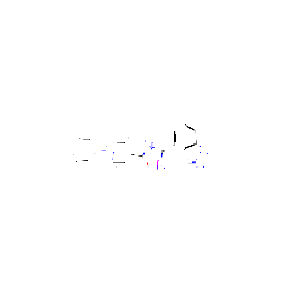 Fc1ccc2[nH]ncc2c1-c1noc(C2CCN(C3CCSCC3)CC2)n1